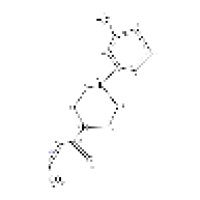 Cc1cccc(N2CCN(C(=O)/C=C\C(=O)O)CC2)c1